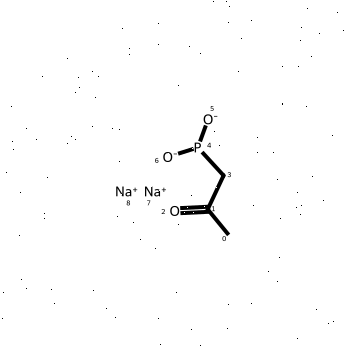 CC(=O)CP([O-])[O-].[Na+].[Na+]